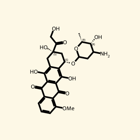 COc1cccc2c1C(=O)c1c(O)c3c(c(O)c1C2=O)C[C@@](O)(C(=O)CO)C[C@@H]3OC1CC(N)[C@@H](O)[C@@H](C)O1